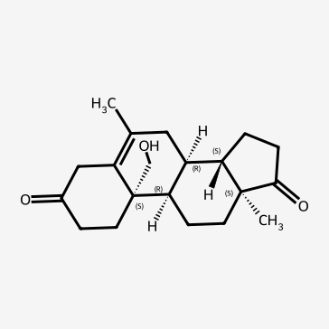 CC1=C2CC(=O)CC[C@]2(CO)[C@@H]2CC[C@]3(C)C(=O)CC[C@H]3[C@@H]2C1